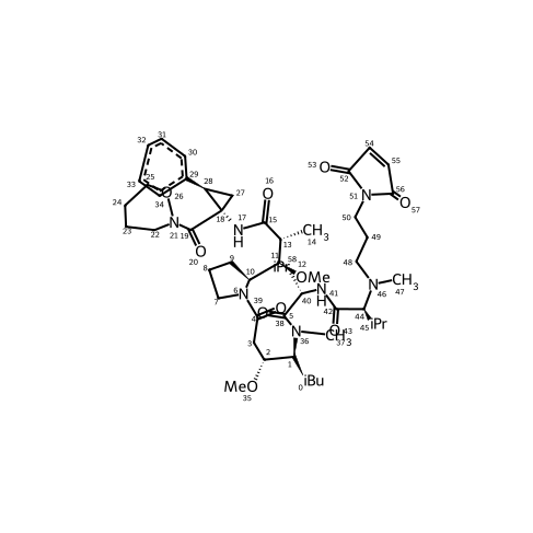 CC[C@H](C)[C@@H]([C@@H](CC(=O)N1CCC[C@H]1[C@H](OC)[C@@H](C)C(=O)N[C@@]1(C(=O)N2CCCCO2)C[C@@H]1c1ccccc1)OC)N(C)C(=O)[C@@H](NC(=O)[C@H](C(C)C)N(C)CCCN1C(=O)C=CC1=O)C(C)C